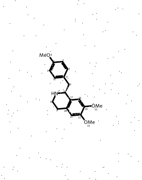 COc1ccc(C[C@@H]2NCCc3cc(OC)c(OC)cc32)cc1